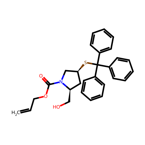 C=CCOC(=O)N1C[C@@H](SC(c2ccccc2)(c2ccccc2)c2ccccc2)C[C@H]1CO